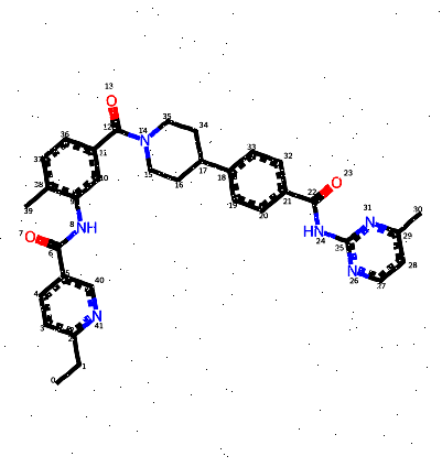 CCc1ccc(C(=O)Nc2cc(C(=O)N3CCC(c4ccc(C(=O)Nc5nccc(C)n5)cc4)CC3)ccc2C)cn1